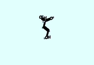 O=[SH](=O)C=CO